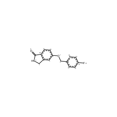 O=C1NCc2cc(OCc3ccc(F)cn3)ccc21